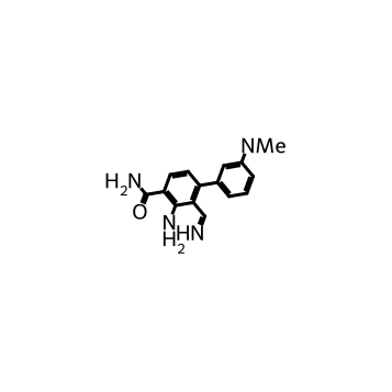 CNc1cccc(-c2ccc(C(N)=O)c(N)c2C=N)c1